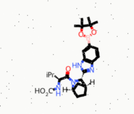 CC(C)[C@H](NC(=O)O)C(=O)N1[C@@H]2CC[C@@H](C2)[C@H]1c1nc2ccc(B3OC(C)(C)C(C)(C)O3)cc2[nH]1